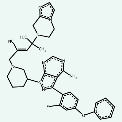 CC(C)(C=C(C#N)CN1CCCC(n2nc(-c3ccc(Oc4ccccc4)cc3F)c3c(N)ncnc32)C1)N1CCn2ccnc2C1